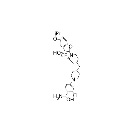 CC(C)Oc1cccc(C(O)(C(=O)N2CCC(CC3CCN(c4ccc(C(N)O)c(Cl)c4)CC3)CC2)C(F)(F)F)c1